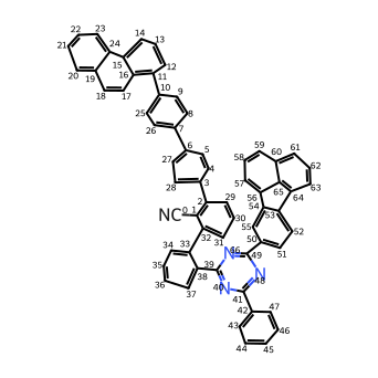 N#Cc1c(-c2ccc(-c3ccc(-c4cccc5c4ccc4ccccc45)cc3)cc2)cccc1-c1ccccc1-c1nc(-c2ccccc2)nc(-c2ccc3c(c2)-c2cccc4cccc-3c24)n1